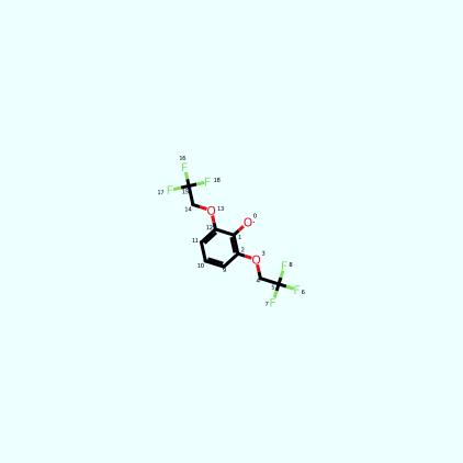 [O]c1c(OCC(F)(F)F)cccc1OCC(F)(F)F